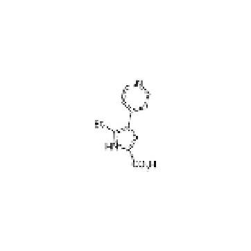 CCc1[nH]c(C(=O)O)cc1-c1ccncc1